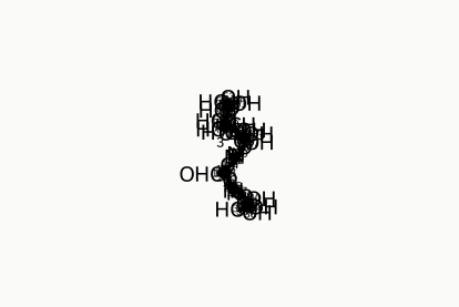 CC(C)(OC[C@H]1O[C@@H](OCCn2cc(COc3cc(C=O)cc(OCc4cn(CCO[C@@H]5O[C@H](CO)[C@@H](O)[C@H](O)[C@H]5O)nn4)c3)nn2)[C@H](O)[C@@H](O)[C@@H]1O)[C@@H]1O[C@H](CO[C@@H]2O[C@H](CO)[C@@H](O)[C@H](O)[C@H]2O)[C@@H](O)[C@H](O)[C@H]1O